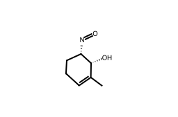 CC1=CCC[C@H](N=O)[C@@H]1O